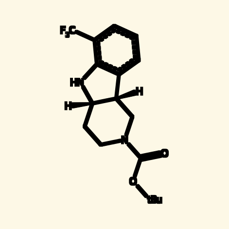 CC(C)(C)OC(=O)N1CC[C@@H]2Nc3c(cccc3C(F)(F)F)[C@@H]2C1